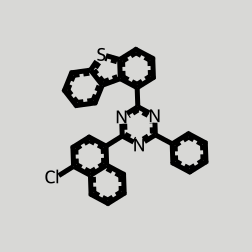 Clc1ccc(-c2nc(-c3ccccc3)nc(-c3cccc4sc5ccccc5c34)n2)c2ccccc12